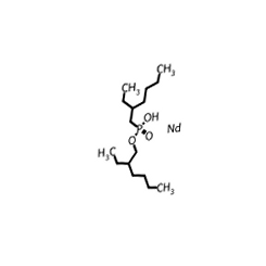 CCCCC(CC)COP(=O)(O)CC(CC)CCCC.[Nd]